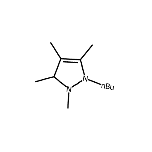 CCCCN1C(C)=C(C)C(C)N1C